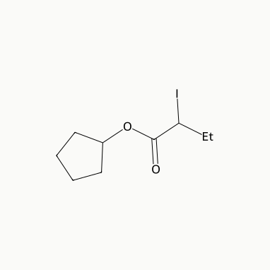 CCC(I)C(=O)OC1CCCC1